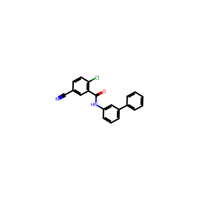 N#Cc1ccc(Cl)c(C(=O)Nc2cccc(-c3ccccc3)c2)c1